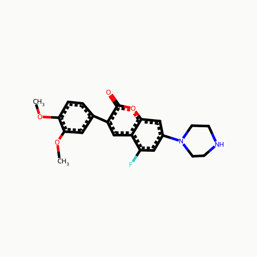 COc1ccc(-c2cc3c(F)cc(N4CCNCC4)cc3oc2=O)cc1OC